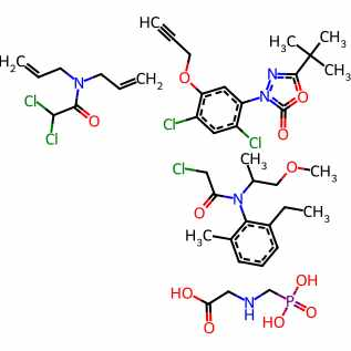 C#CCOc1cc(-n2nc(C(C)(C)C)oc2=O)c(Cl)cc1Cl.C=CCN(CC=C)C(=O)C(Cl)Cl.CCc1cccc(C)c1N(C(=O)CCl)C(C)COC.O=C(O)CNCP(=O)(O)O